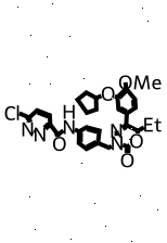 CCC1OC(=O)N(Cc2ccc(NC(=O)c3ccc(Cl)nn3)cc2)N=C1c1ccc(OC)c(OC2CCCC2)c1